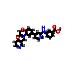 COC(=O)c1cccc(Nc2cc(-c3ccc4c(c3)N(Cc3cccnc3)C(=O)CO4)ccn2)c1